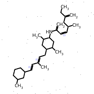 C=C(CC)CC(C)/C=C\C(=C)NC1CC(C)C(C/C=C(C)/C=C/C2CCCC(C)C2)CC1C